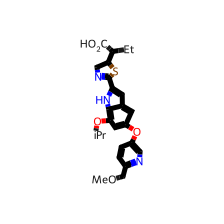 CCC(C(=O)O)C1CN=C(c2cc3cc(Oc4ccc(COC)nc4)cc(OC(C)C)c3[nH]2)S1